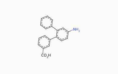 Nc1ccc(-c2cccc(C(=O)O)c2)c(-c2ccccc2)c1